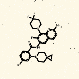 Nc1ccc2cc(NC(=O)c3ccc(Br)cc3N3CCC4(CC3)CC4)c(F)c(N3CCC(F)(F)CC3)c2n1